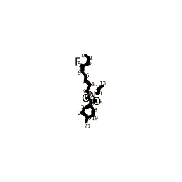 C/C=C\C(F)=C/C/C=C/CN(/C=C/C)S(=O)(=O)c1ccc(C)cc1